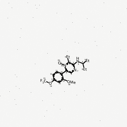 CCc1c(NC(CC)CC)ncc(-c2ccc(OC(F)(F)F)cc2OC)[n+]1[O-]